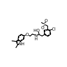 Cc1[nH]c2cc(OCCNC(O)Cc3ccc(Cl)c(CS(C)(=O)=O)c3)ccc2c1C